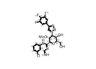 CO[C@@H]1[C@@H](n2cc(-c3cc(F)c(F)c(F)c3)nn2)[C@@H](O)[C@@H](CO)O[C@H]1/C(=N/C=N)Nc1cccc(Cl)c1